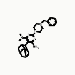 CN(C)c1nc(N2CCN(Cc3ccccc3)CC2)nc(N)c1C1C2CC3CC(C2)CC1C3